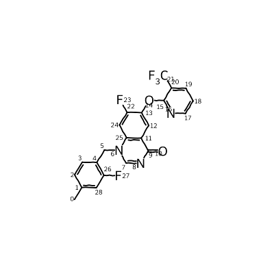 Cc1ccc(Cn2cnc(=O)c3cc(Oc4ncccc4C(F)(F)F)c(F)cc32)c(F)c1